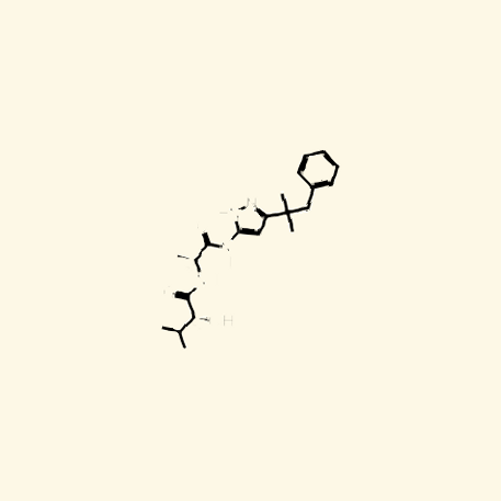 CC(C)[C@H](O)C(=O)N[C@@H](C)C(=O)Nc1cc(C(C)(C)Cc2ccccc2)n[nH]1